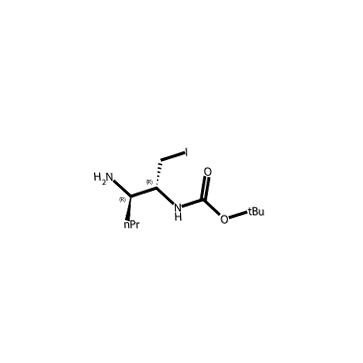 CCC[C@@H](N)[C@H](CI)NC(=O)OC(C)(C)C